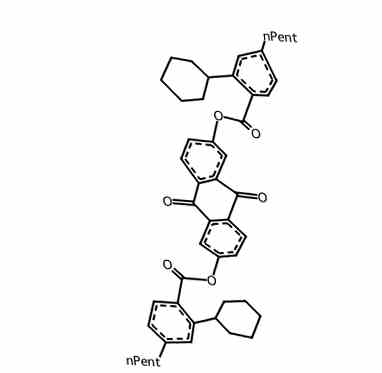 CCCCCc1ccc(C(=O)Oc2ccc3c(c2)C(=O)c2ccc(OC(=O)c4ccc(CCCCC)cc4C4CCCCC4)cc2C3=O)c(C2CCCCC2)c1